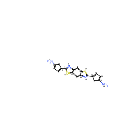 NC1=CC=C(c2nc3cc4sc(C5=CC=C(N)C5)nc4cc3s2)C1